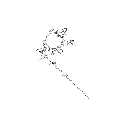 CCCCCCCCCCCCCCCCCC(=O)NCCOCCOCCNC(=O)CCCC(=O)N[C@@H](CCN)C(=O)N[C@@H](CCCC)C(=O)N[C@H]1CC(=O)NCCCC[C@@H](C(N)=O)NC(=O)[C@H](Cc2c[nH]c3ccccc23)NC(=O)[C@H](CCCNC(=N)N)NC(=O)[C@@H](Cc2ccccc2)NC(=O)[C@@H]2C[C@@H](O)CN2C1=O